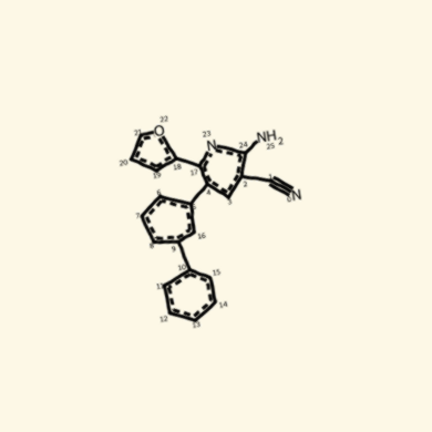 N#Cc1cc(-c2cccc(-c3ccccc3)c2)c(-c2ccco2)nc1N